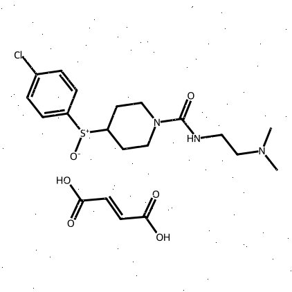 CN(C)CCNC(=O)N1CCC([S+]([O-])c2ccc(Cl)cc2)CC1.O=C(O)/C=C/C(=O)O